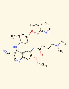 CCOc1cc2ncc(C#N)c(Nc3ccc(OCC4=NCCCC4C)cc3C)c2cc1NC(=O)CCCN(C)C